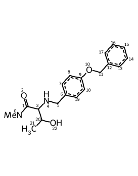 CNC(=O)C(NCc1ccc(OCc2ccccc2)cc1)C(C)O